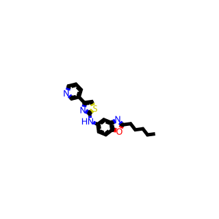 CCCCCc1nc2cc(Nc3nc(-c4cccnc4)cs3)ccc2o1